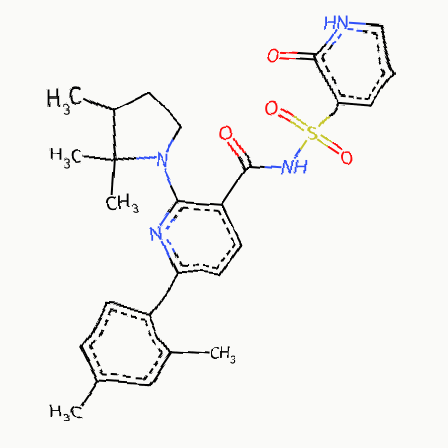 Cc1ccc(-c2ccc(C(=O)NS(=O)(=O)c3ccc[nH]c3=O)c(N3CCC(C)C3(C)C)n2)c(C)c1